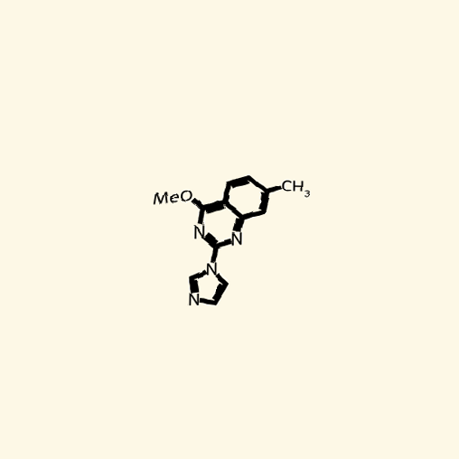 COc1nc(-n2ccnc2)nc2cc(C)ccc12